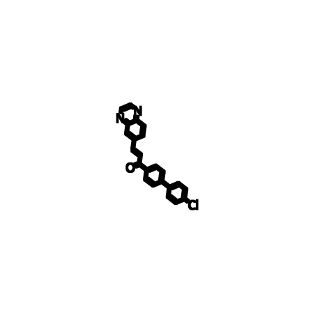 O=C(/C=C/c1ccc2nccnc2c1)c1ccc(-c2ccc(Cl)cc2)cc1